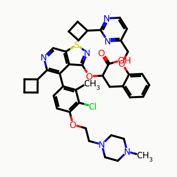 Cc1c(-c2c(C3CCC3)ncc3snc(OC(Cc4ccccc4OCc4ccnc(C5CCC5)n4)C(=O)O)c23)ccc(OCCN2CCN(C)CC2)c1Cl